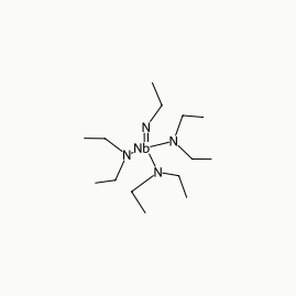 CC[N]=[Nb]([N](CC)CC)([N](CC)CC)[N](CC)CC